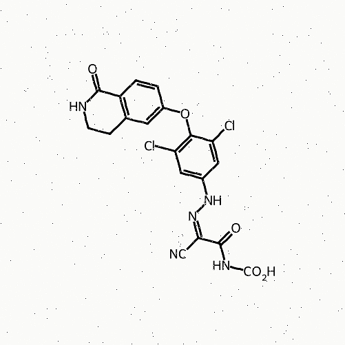 N#CC(=NNc1cc(Cl)c(Oc2ccc3c(c2)CCNC3=O)c(Cl)c1)C(=O)NC(=O)O